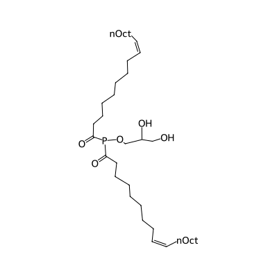 CCCCCCCC/C=C\CCCCCCCC(=O)P(OCC(O)CO)C(=O)CCCCCCC/C=C\CCCCCCCC